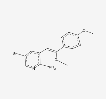 COC(=Cc1cc(Br)cnc1N)c1ccc(OC)cc1